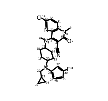 CN(c1c(C#N)c(=O)n(C)c2ccc(Cl)nc12)C1CCC(N(CC2CC2)c2cccc(F)c2)CC1